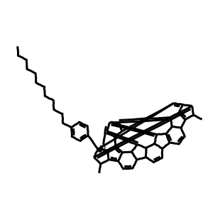 CCCCCCCCCCCCc1ccc(C2N(C)CC34C5=C6C=CC7C8C6=C3C3C6=C8C8C7C=CC7C9=C%10C(=C6C6=C%11C%12=C(C(C)C%13=C(C5C)C24C(=C%12%13)C63)C(C=C9)C%10%11)C78)cc1